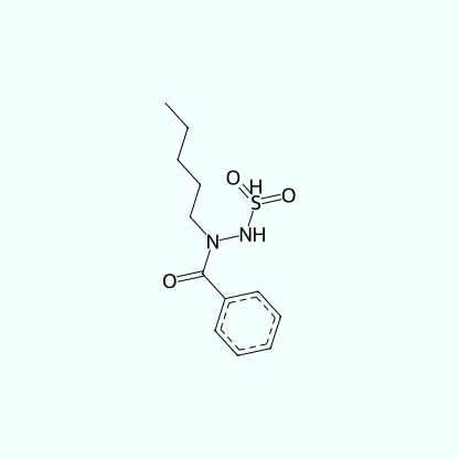 CCCCCN(N[SH](=O)=O)C(=O)c1ccccc1